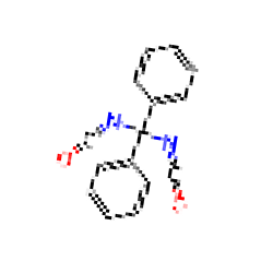 O=C=NC(N=C=O)(c1ccccc1)c1ccccc1